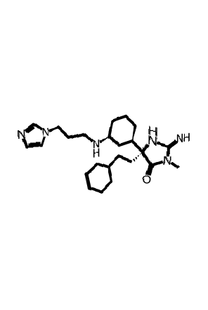 CN1C(=N)N[C@](CCC2CCCCC2)([C@@H]2CCC[C@H](NCCCn3ccnc3)C2)C1=O